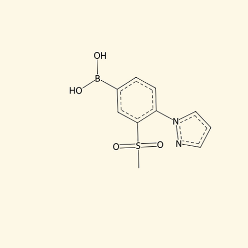 CS(=O)(=O)c1cc(B(O)O)ccc1-n1cccn1